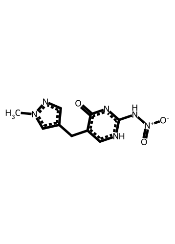 Cn1cc(Cc2c[nH]c(N[N+](=O)[O-])nc2=O)cn1